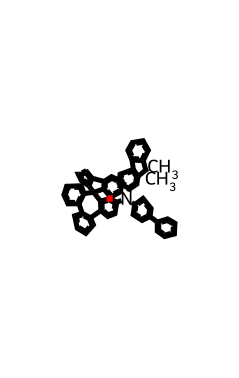 CC1(C)c2ccccc2-c2ccc(N(c3ccc(-c4ccccc4)cc3)c3ccc4c(c3)C3(c5ccccc5-c5ccccc5-4)c4ccccc4-c4ccccc43)cc21